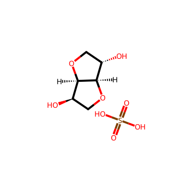 O=S(=O)(O)O.O[C@@H]1CO[C@H]2[C@@H]1OC[C@@H]2O